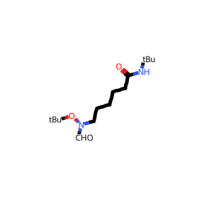 CC(C)(C)NC(=O)CCCCCN(C=O)OC(C)(C)C